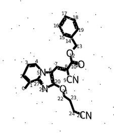 Cc1cccn2c(C=C(C#N)C(=O)OCc3ccccc3)c(OCCCC#N)nc12